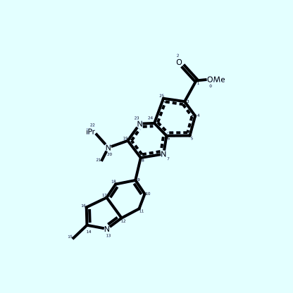 COC(=O)c1ccc2nc(C3=CCC4=NC(C)=CC4=C3)c(N(C)C(C)C)nc2c1